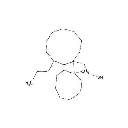 CCCC1CCCCCCCC(CCS)(C2(C)CCCCCCC2)C1